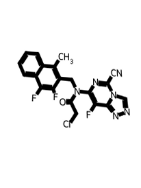 Cc1c(CN(C(=O)CCl)c2nc(C#N)n3cnnc3c2F)c(F)c(F)c2ccccc12